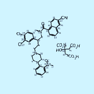 CN(CC(CCN1CCC(c2ccccc2[S@+](C)[O-])CC1)c1ccc(Cl)c(Cl)c1)C(=O)c1cccc2cc(C#N)ccc12.O=C(O)CC(O)(CC(=O)O)C(=O)O